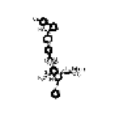 CN(CCOP(=O)(O)O)CCC(CSc1ccccc1)Nc1ccc(S(=O)(=O)NC(=O)c2ccc(N3CCC([C@@H](O)c4ccccc4-c4ccc(Cl)cc4)CC3)cc2)cc1S(=O)(=O)C(F)(F)F